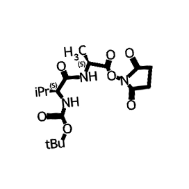 CC(C)[C@H](NC(=O)OC(C)(C)C)C(=O)N[C@@H](C)C(=O)ON1C(=O)CCC1=O